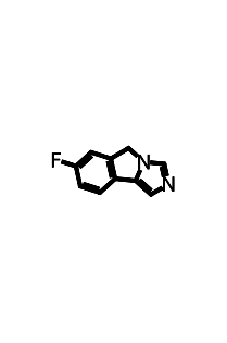 Fc1ccc2c(c1)Cn1cncc1-2